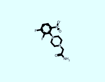 NC(=O)CN1CCN(c2c([N+](=O)[O-])ccc(F)c2F)CC1